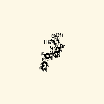 O=C(O)N1CCN(c2nc3c(Nc4cc(F)c(Oc5ccn6ncnc6c5)cc4F)ncnc3cc2Br)CC1CO